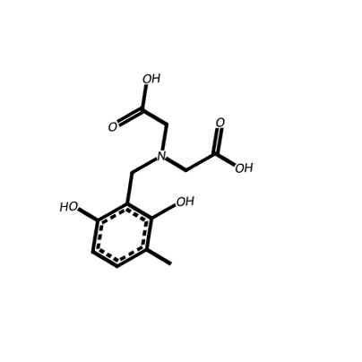 Cc1ccc(O)c(CN(CC(=O)O)CC(=O)O)c1O